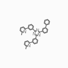 Cc1cccc(-c2cccc(-c3nc(-c4cccc(-c5ccccc5)c4)nc(-c4cccc(-c5cccc(C)n5)c4)n3)c2)n1